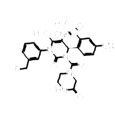 CC1=C(C#N)[C@@H](c2ccc(C#N)cc2S(C)(=O)=O)N(C(=O)N2CCNC(=O)C2)C(=O)N1c1cccc(CF)c1